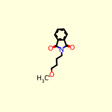 COCCCCN1C(=O)c2ccccc2C1=O